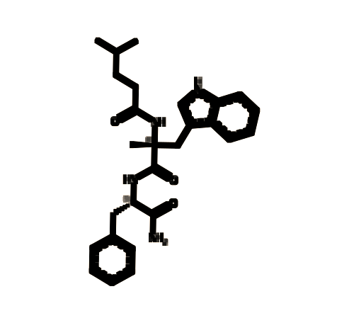 CC(C)CCC(=O)N[C@](C)(Cc1c[nH]c2ccccc12)C(=O)N[C@@H](Cc1ccccc1)C(N)=O